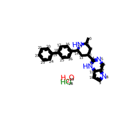 CC1CC(c2ncc3nccc-3[nH]2)CC(c2ccc(-c3ccccc3)cc2)N1.Cl.O